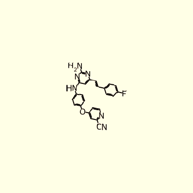 N#Cc1cc(Oc2ccc(Nc3cc(C=Cc4ccc(F)cc4)nc(N)n3)cc2)ccn1